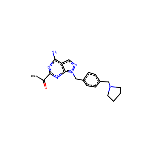 CCCCC(=O)c1nc(N)c2cnn(Cc3ccc(CN4CCCC4)cc3)c2n1